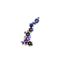 CC(C)n1cc(C(=O)Nc2ccc(Oc3ccnc(-c4cnn(CCN5CCN(C)CC5)c4)c3)c(F)c2)c(=O)n(-c2ccc(F)cc2)c1=O